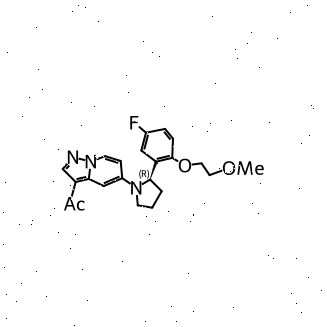 COCCOc1ccc(F)cc1[C@H]1CCCN1c1ccn2ncc(C(C)=O)c2c1